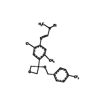 CCN(C)C=Nc1cc(C)c(C2(OCc3ccc(C(F)(F)F)cc3)COC2)cc1Cl